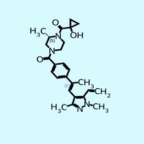 C=Cc1c(/C=C(\C)c2ccc(C(=O)N3CCN(C(=O)C4(O)CC4)[C@@H](C)C3)cc2)c(C)nn1C